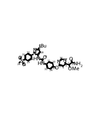 COC(C(N)=O)c1cc(Oc2ccc(NC(=O)Nc3cc(C(C)(C)C)nn3-c3ccc(S(C)(=O)=O)cc3)cc2)ncn1